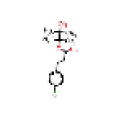 CC(C)(O)C(C)(C)OB(O)CCc1ccc(Cl)cc1